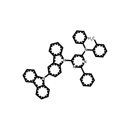 Cc1ccccc1N(c1ccccc1)c1cc(-n2c3ccccc3c3cc(-n4c5ccccc5c5ccccc54)ccc32)nc(-c2ccccc2)n1